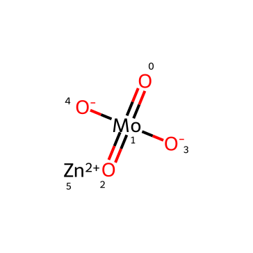 [O]=[Mo](=[O])([O-])[O-].[Zn+2]